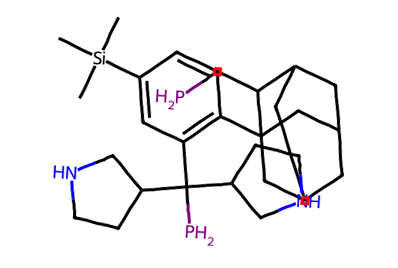 C[Si](C)(C)c1ccc(C23CC4CC(CC(C4)C2CP)C3)c(C(P)(C2CCNC2)C2CCNC2)c1